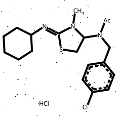 CC(=O)N(Cc1ccc(Cl)cc1)C1CSC(=NC2CCCCC2)N1C.Cl